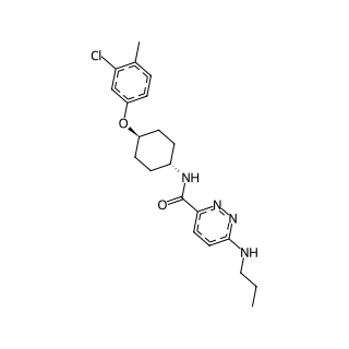 CCCNc1ccc(C(=O)N[C@H]2CC[C@H](Oc3ccc(C)c(Cl)c3)CC2)nn1